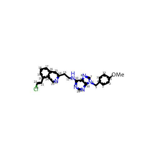 COc1ccc(Cn2cnc3c(NCCc4cc5cccc(C=CCl)c5cn4)ncnc32)cc1